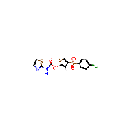 Cc1c(S(=O)(=O)c2ccc(Cl)cc2)csc1OC(=O)Nc1nccs1